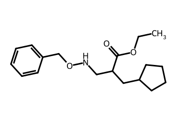 CCOC(=O)C(CNOCc1ccccc1)CC1CCCC1